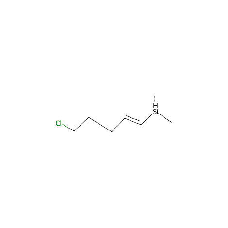 C[SiH](C)C=CCCCCl